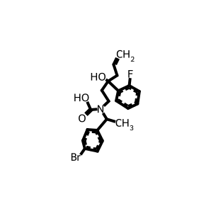 C=CCC(O)(CCN(C(=O)O)C(C)c1ccc(Br)cc1)c1ccccc1F